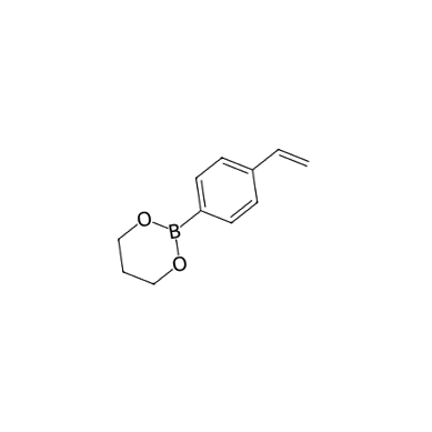 C=Cc1ccc(B2OCCCO2)cc1